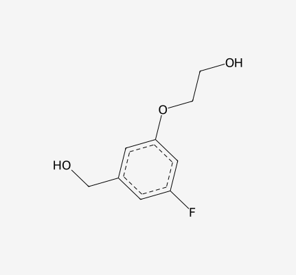 OCCOc1cc(F)cc(CO)c1